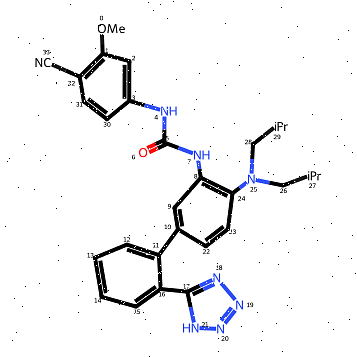 COc1cc(NC(=O)Nc2cc(-c3ccccc3-c3nnn[nH]3)ccc2N(CC(C)C)CC(C)C)ccc1C#N